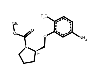 CC(C)(C)OC(=O)N1CCC[C@@H]1COc1cc(N)ccc1C(F)(F)F